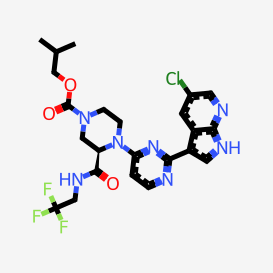 CC(C)COC(=O)N1CCN(c2ccnc(-c3c[nH]c4ncc(Cl)cc34)n2)[C@@H](C(=O)NCC(F)(F)F)C1